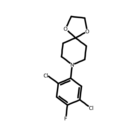 Fc1cc(Cl)c(N2CCC3(CC2)OCCO3)cc1Cl